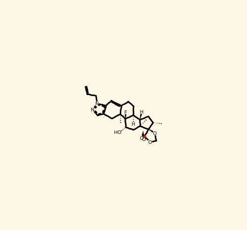 C=CCn1ncc2c1C=C1CC[C@H]3[C@@H]4C[C@H](C)[C@@]5(OCOC56COCO6)[C@@]4(C)C[C@H](O)[C@]3(F)[C@@]1(C)C2